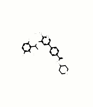 CC(Oc1cc(-c2ccc(C(=O)NC3CCNCC3)cc2)cnc1N)c1c(Cl)ccc(F)c1Cl